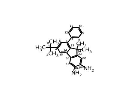 CC(C)(C)c1cc(-c2ccccc2)c2c(c1)-c1cc(N)c(N)cc1C2(C)C